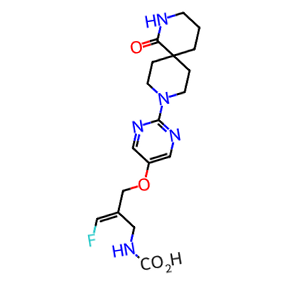 O=C(O)NC/C(=C\F)COc1cnc(N2CCC3(CCCNC3=O)CC2)nc1